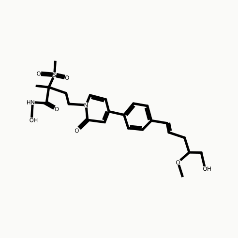 COC(CO)C/C=C/c1ccc(-c2ccn(CCC(C)(C(=O)NO)S(C)(=O)=O)c(=O)c2)cc1